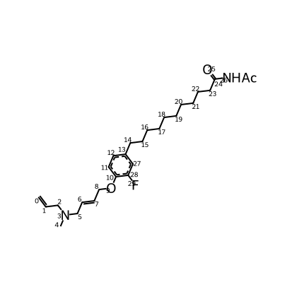 C=CCN(C)C/C=C/COc1ccc(CCCCCCCCCCC(=O)NC(C)=O)cc1F